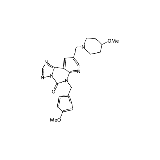 COc1ccc(Cn2c(=O)n3ncnc3c3cc(CN4CCC(OC)CC4)cnc32)cc1